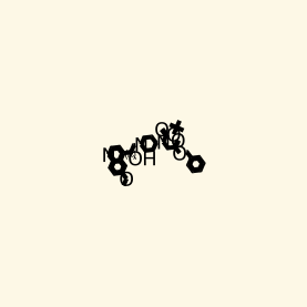 COc1ccc2nccc([C@@H](O)CN3CCC(N(CC(=O)OCc4ccccc4)C(=O)OC(C)(C)C)CC3)c2c1